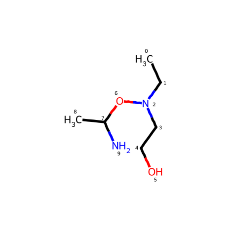 CCN(CCO)OC(C)N